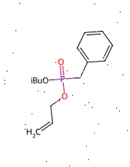 C=CCOP(=O)(Cc1ccccc1)OCC(C)C